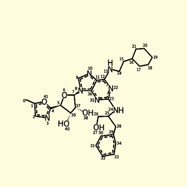 Cc1cnc([C@H]2O[C@@H](n3cnc4c(NCCC5CCCCC5)nc(NC(CO)Cc5ccccc5)nc43)[C@H](O)[C@@H]2O)o1